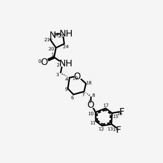 O=C(NC[C@H]1CC[C@@H](COc2ccc(F)c(F)c2)CO1)C1C=NNC1